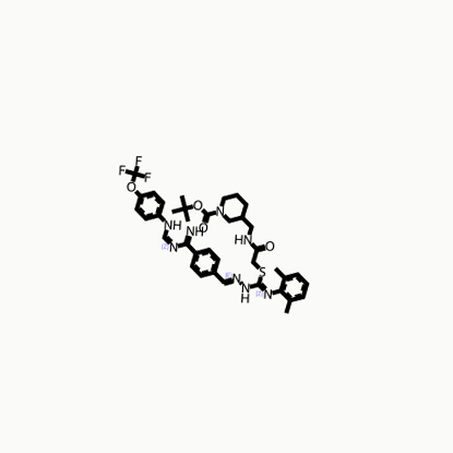 Cc1cccc(C)c1/N=C(/N/N=C/c1ccc(C(=N)/N=C\Nc2ccc(OC(F)(F)F)cc2)cc1)SCC(=O)NCC1CCCN(C(=O)OC(C)(C)C)C1